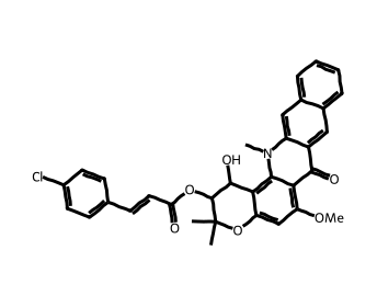 COc1cc2c(c3c1c(=O)c1cc4ccccc4cc1n3C)C(O)C(OC(=O)/C=C/c1ccc(Cl)cc1)C(C)(C)O2